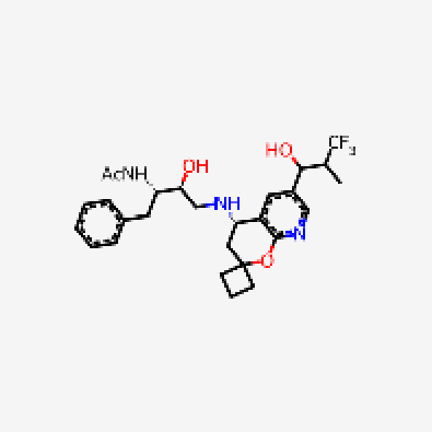 CC(=O)N[C@@H](Cc1ccccc1)[C@@H](O)CN[C@H]1CC2(CCC2)Oc2ncc(C(O)C(C)C(F)(F)F)cc21